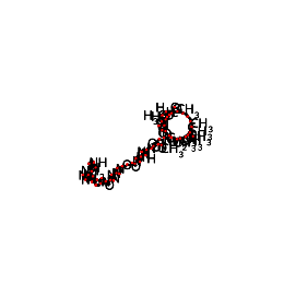 CO[C@H]1C[C@@H]2CC[C@@H](C)[C@@](O)(O2)C(=O)C(=O)N2CCCC[C@H]2C(=O)O[C@H]([C@H](N)C[C@@H]2CC[C@@H](OC(=O)NCc3cnc(N4CCN(C(=O)CCOCCN5CCN(c6ncc(C(=O)N7CCc8cc(Cn9nc(-c%10cnc%11[nH]ccc%11c%10)c%10c(N)ncnc%109)ccc8C7)cn6)CC5)CC4)nc3)[C@H](OC)C2)CC(=O)[C@H](C)/C=C(\C)[C@@H](O)[C@@H](OC)C(=O)[C@H](C)C[C@H](C)/C=C/C=C/C=C/1C